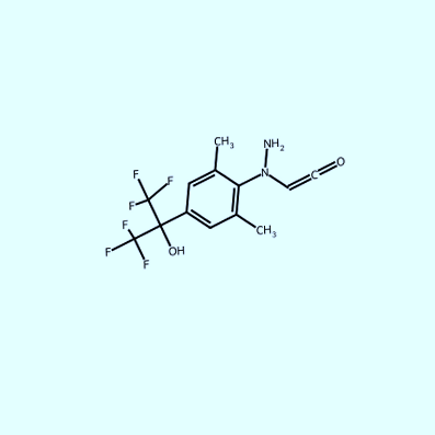 Cc1cc(C(O)(C(F)(F)F)C(F)(F)F)cc(C)c1N(N)C=C=O